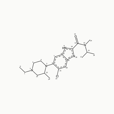 CCN1CCN(c2cc3[nH]c(C(=O)N(C)C(C)C)nc3cc2Cl)C(C)C1